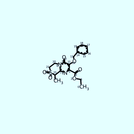 CCOC(=O)c1nc2n(c(=O)c1OCc1ccccc1)CCS(=O)(=O)C2C